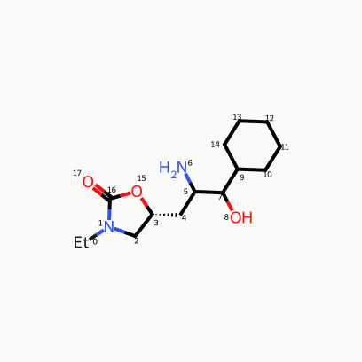 CCN1C[C@@H](CC(N)C(O)C2CCCCC2)OC1=O